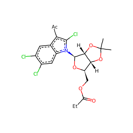 CCC(=O)OC[C@H]1O[C@@H](n2c(Cl)c(C(C)=O)c3cc(Cl)c(Cl)cc32)[C@@H]2OC(C)(C)O[C@@H]21